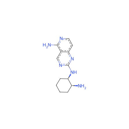 Nc1nccc2nc(N[C@@H]3CCCC[C@@H]3N)ncc12